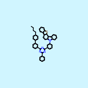 CCCCc1ccc(-c2cccc(-c3nc(-c4ccccc4)nc(-c4cccc(-n5c6ccccc6c6c7sc8ccccc8c7ccc65)c4)n3)c2)cc1